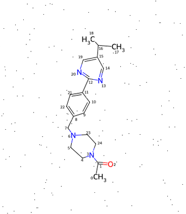 CC(=O)N1CCN(Cc2ccc(-c3ncc(C(C)C)cn3)cc2)CC1